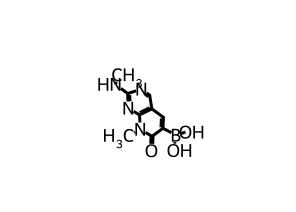 CNc1ncc2cc(B(O)O)c(=O)n(C)c2n1